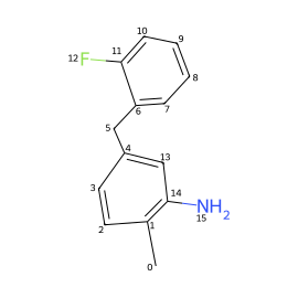 Cc1ccc(Cc2ccccc2F)cc1N